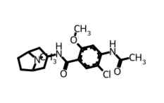 COc1cc(NC(C)=O)c(Cl)cc1C(=O)NC1CC2CCC(C1)N2C